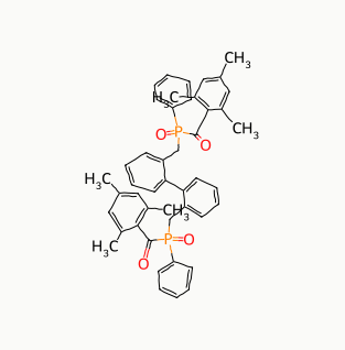 Cc1cc(C)c(C(=O)P(=O)(Cc2ccccc2-c2ccccc2CP(=O)(C(=O)c2c(C)cc(C)cc2C)c2ccccc2)c2ccccc2)c(C)c1